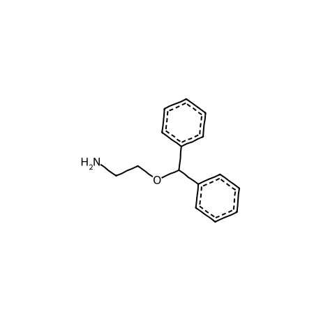 NCCOC(c1ccccc1)c1ccccc1